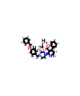 CC(C)OC(=O)c1c(-c2ccccc2)ccnc1N1CCN(Cc2ccc(OCc3ccccc3)cc2)CC1